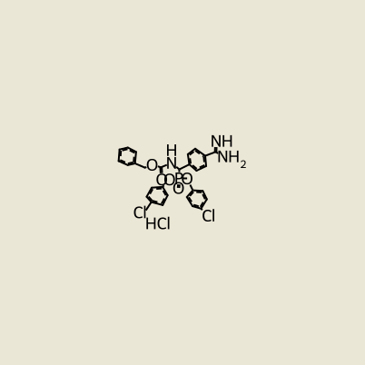 Cl.N=C(N)c1ccc(C(NC(=O)OCc2ccccc2)P(=O)(Oc2ccc(Cl)cc2)Oc2ccc(Cl)cc2)cc1